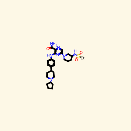 CCS(=O)(=O)NC1CCCN(c2cnc(C(N)=O)c(Nc3ccc(C4CCN(C5CCCC5)CC4)cc3)n2)C1